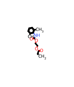 C=CC(=O)OCCOC(=O)Nc1c(C)cccc1C